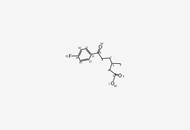 COC(=O)CC(C)CCC(=O)c1ccc(F)cc1